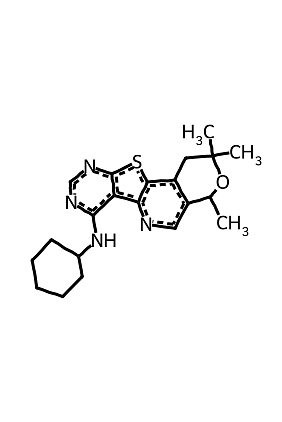 CC1OC(C)(C)Cc2c1cnc1c2sc2ncnc(NC3CCCCC3)c21